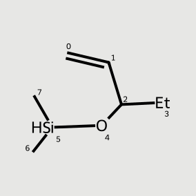 C=CC(CC)O[SiH](C)C